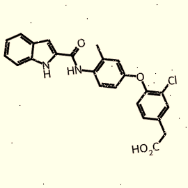 Cc1cc(Oc2ccc(CC(=O)O)cc2Cl)ccc1NC(=O)c1cc2ccccc2[nH]1